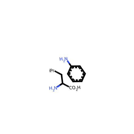 CC(C)CC(N)C(=O)O.Nc1ccccc1